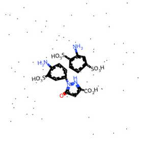 Nc1cc(S(=O)(=O)O)ccc1S(=O)(=O)O.Nc1ccc(-n2[nH]c(C(=O)O)cc2=O)cc1S(=O)(=O)O